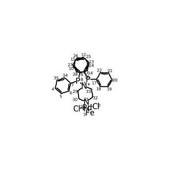 [Cl][Pd][Cl].[Fe].c1ccc(P(c2ccccc2)[N+]2(P(c3ccccc3)c3ccccc3)CCNCC2)cc1